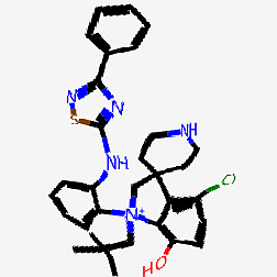 CC(C)(C)C[N+]1(c2ccccc2Nc2nc(-c3ccccc3)ns2)CC2(CCNCC2)c2c(Cl)ccc(O)c21